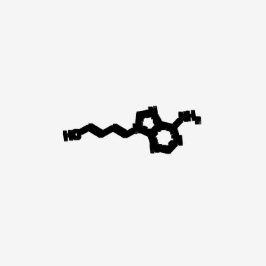 Nc1ncnc2c1ncn2C=CC=CO